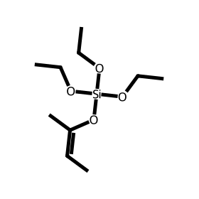 CC=C(C)O[Si](OCC)(OCC)OCC